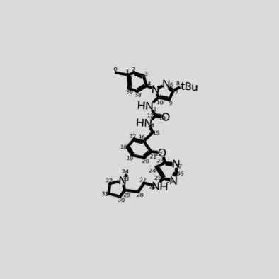 Cc1ccc(-n2nc(C(C)(C)C)cc2NC(=O)NCc2ccccc2Oc2cc(NCCC3CCCN3C)ncn2)cc1